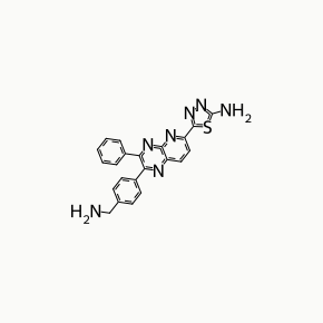 NCc1ccc(-c2nc3ccc(-c4nnc(N)s4)nc3nc2-c2ccccc2)cc1